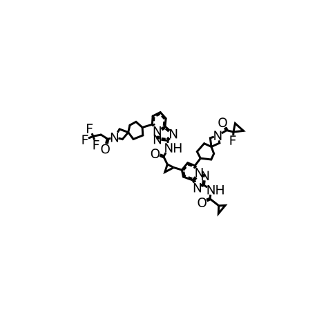 O=C(Nc1nc2cc(C3CC3C(=O)Nc3nc4cccc(C5CCC6(CC5)CN(C(=O)CC(F)(F)F)C6)n4n3)cc(C3CCC4(CC3)CN(C(=O)C3(F)CC3)C4)n2n1)C1CC1